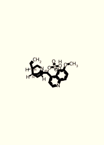 C=C[C@H]1CN2CC[C@H]1C[C@H]2[C@H](OP(=O)(O)O)c1ccnc2ccc(OC)cc12